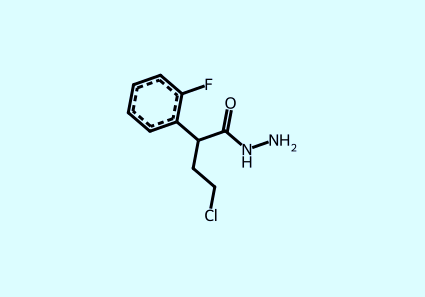 NNC(=O)C(CCCl)c1ccccc1F